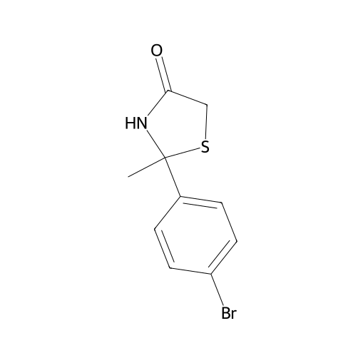 CC1(c2ccc(Br)cc2)NC(=O)CS1